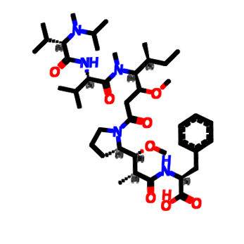 CC[C@H](C)[C@@H](C(CC(=O)N1CCC[C@H]1[C@H](OC)[C@@H](C)C(=O)N[C@@H](Cc1ccccc1)C(=O)O)OC)N(C)C(=O)[C@@H](NC(=O)[C@H](C(C)C)N(C)C(C)C)C(C)C